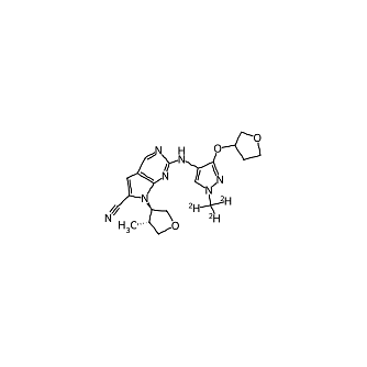 [2H]C([2H])([2H])n1cc(Nc2ncc3cc(C#N)n([C@H]4COC[C@@H]4C)c3n2)c(OC2CCOC2)n1